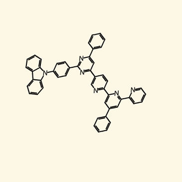 c1ccc(-c2cc(-c3ccccn3)nc(-c3ccc(-c4cc(-c5ccccc5)nc(-c5ccc(-n6c7ccccc7c7ccccc76)cc5)n4)cn3)c2)cc1